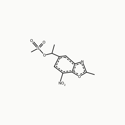 Cc1nc2cc(C(C)OS(C)(=O)=O)cc([N+](=O)[O-])c2o1